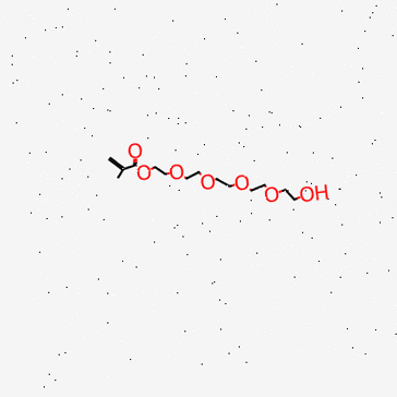 C=C(C)C(=O)OCCOCCOCCOCCOCCO